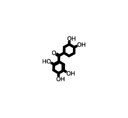 O=C(C1=C(O)CC(O)C(O)=C1)C1CCC(O)C(O)C1